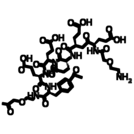 CC(=O)COCCNC(=O)[C@H](Cc1ccc(C(C)=O)cc1)NC(=O)[C@@H](CCC(=O)O)NC(=O)[C@@H](CCC(=O)O)NC(=O)[C@@H](CCC(=O)O)NC(=O)[C@@H](CCC(=O)O)CC(=O)[C@@H](CCC(=O)O)NC(=O)COCCN